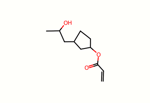 C=CC(=O)OC1CCC(CC(C)O)C1